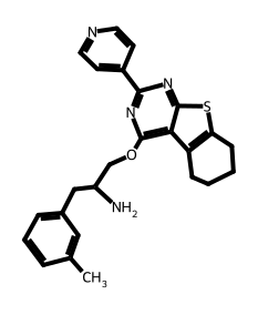 Cc1cccc(CC(N)COc2nc(-c3ccncc3)nc3sc4c(c23)CCCC4)c1